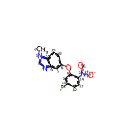 Cn1cnc2cc(Oc3cc(F)ccc3[N+](=O)[O-])ccc21